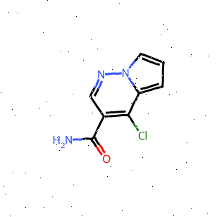 NC(=O)c1cnn2cccc2c1Cl